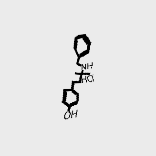 CC(C)(CCc1ccc(O)cc1)NCc1ccccc1.Cl